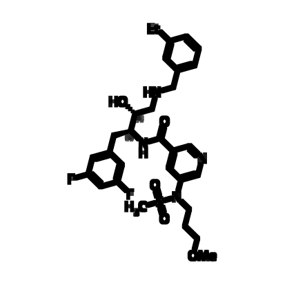 CCc1cccc(CNC[C@@H](O)[C@H](Cc2cc(F)cc(F)c2)NC(=O)c2cncc(N(CCCOC)S(C)(=O)=O)c2)c1